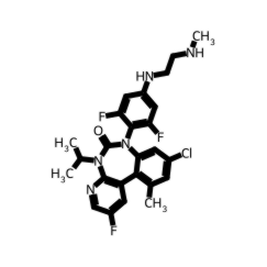 CNCCNc1cc(F)c(N2C(=O)N(C(C)C)c3ncc(F)cc3-c3c(C)cc(Cl)cc32)c(F)c1